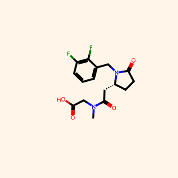 CN(CC(=O)O)C(=O)C[C@H]1CCC(=O)N1Cc1cccc(F)c1F